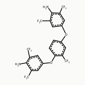 Nc1c(C(F)(F)F)cc(Oc2ccc(Oc3cc(C(F)(F)F)c(N)c(C(F)(F)F)c3)c(C(F)(F)F)c2)cc1C(F)(F)F